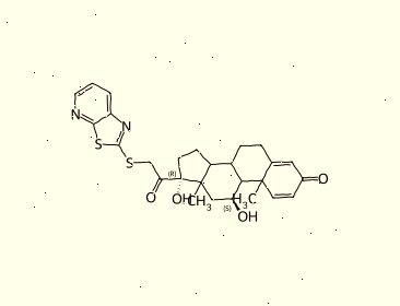 CC12C=CC(=O)C=C1CCC1C2[C@@H](O)CC2(C)C1CC[C@]2(O)C(=O)CSc1nc2cccnc2s1